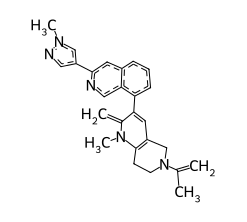 C=C(C)N1CCC2=C(C=C(c3cccc4cc(-c5cnn(C)c5)ncc34)C(=C)N2C)C1